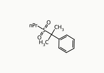 CCCS(=O)(=O)C(C)(C)c1ccccc1